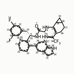 N=C(C1=C(NCC(=O)N[C@@H](Cc2cc(F)cc(F)c2)c2ncccc2-c2cnc3[nH]ccc3c2)C2CC2CC1)C(F)(F)F